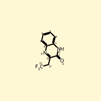 O=c1[nH]c2ccccc2nc1CC(F)(F)F